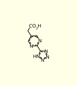 O=C(O)Cc1cnc(-c2nnn[nH]2)nc1